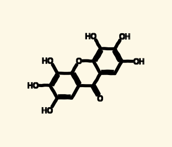 O=c1c2cc(O)c(O)c(O)c2oc2c(O)c(O)c(O)cc12